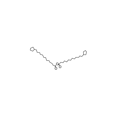 O=C(CCCCCCCCCCCCC1CCCC1)OC(=O)CCCCCCCCCCCCC1CCCC1